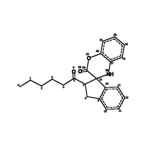 CCCCCC(=O)C1Cc2ccccc2C12Nc1ccccc1OC2=O